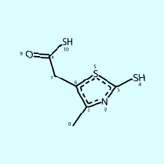 Cc1nc(S)sc1CC(=O)S